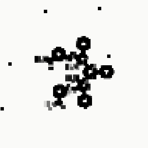 NC(=O)c1cccc(/N=N/c2c(-c3ccccc3)nn(-c3cc(-n4nc(-c5ccccc5)c(NNc5cccc(C(N)=O)c5)c4N)nc(-c4ccccc4)n3)c2N)c1